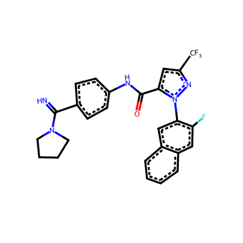 N=C(c1ccc(NC(=O)c2cc(C(F)(F)F)nn2-c2cc3ccccc3cc2F)cc1)N1CCCC1